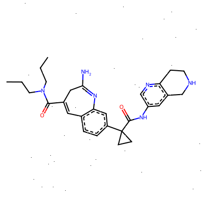 CCCN(CCC)C(=O)C1=Cc2ccc(C3(C(=O)Nc4cnc5c(c4)CNCC5)CC3)cc2N=C(N)C1